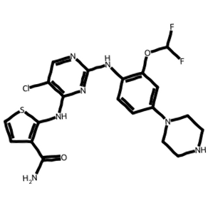 NC(=O)c1ccsc1Nc1nc(Nc2ccc(N3CCNCC3)cc2OC(F)F)ncc1Cl